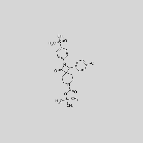 C=S(C)(=O)c1ccc(N2C(=O)C3(CCN(C(=O)OC(C)(C)C)CC3)C2c2ccc(Cl)cc2)cc1